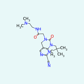 CN(C)CCNC(=O)CN1Cc2cnc(C#N)nc2N(CC(C)(C)C)C1=O